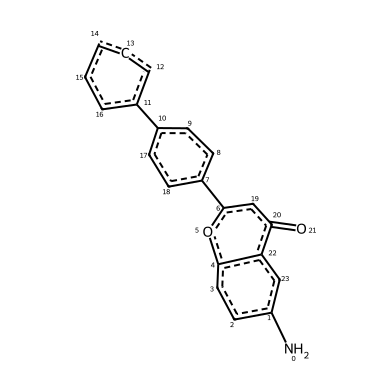 Nc1ccc2oc(-c3ccc(-c4ccccc4)cc3)cc(=O)c2c1